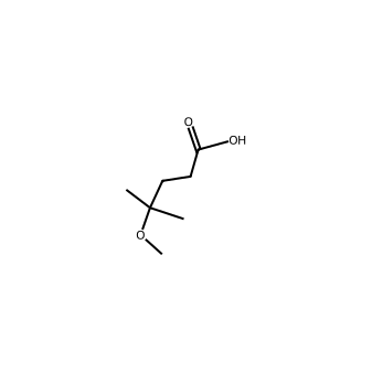 COC(C)(C)CCC(=O)O